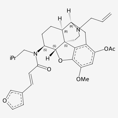 C=CCN1CC[C@]23c4c5c(OC(C)=O)cc(OC)c4O[C@@H]2[C@@H](N(CC(C)C)C(=O)C=Cc2ccoc2)CC[C@H]3[C@H]1C5